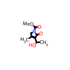 COC(=O)N1CC(C)=C(C(C)O)C1=O